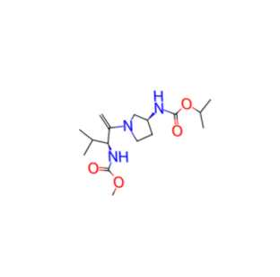 C=C([C@@H](NC(=O)OC)C(C)C)N1CC[C@H](NC(=O)OC(C)C)C1